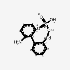 Nc1ccccc1-c1cccc[c]1[Pd][O]S(=O)(=O)O